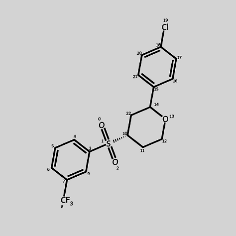 O=S(=O)(c1cccc(C(F)(F)F)c1)[C@H]1CCOC(c2ccc(Cl)cc2)C1